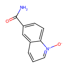 NC(=O)c1ccc2c(ccc[n+]2[O-])c1